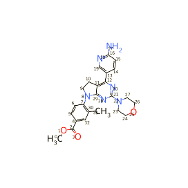 COC(=O)c1ccc(N2CCc3c(-c4ccc(N)nc4)nc(N4CCOCC4)nc32)c(C)c1